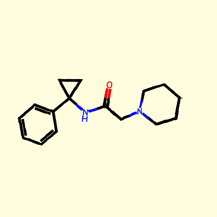 O=C(CN1CC[CH]CC1)NC1(c2ccccc2)CC1